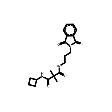 CC(C)(C(=O)NCCCN1C(=O)c2ccccc2C1=O)C(=O)NC1CCC1